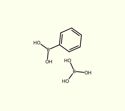 OB(O)O.OB(O)c1ccccc1